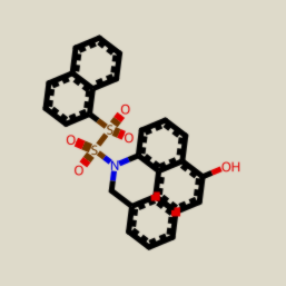 O=S(=O)(c1cccc2ccccc12)S(=O)(=O)N(Cc1ccccc1)c1cccc2c(O)cccc12